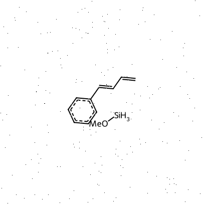 C=CC=Cc1ccccc1.CO[SiH3]